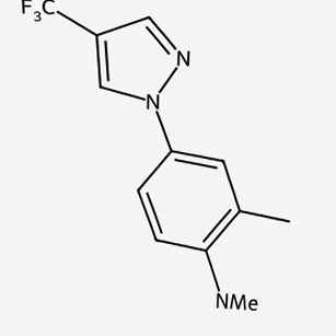 CNc1ccc(-n2cc(C(F)(F)F)cn2)cc1C